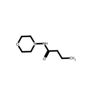 CCCC(=O)NN1CCOCC1